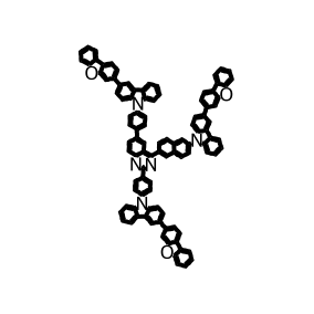 c1ccc2c(c1)oc1cc(-c3ccc4c(c3)c3ccccc3n4-c3ccc(-c4ccc5nc(-c6ccc(-n7c8ccccc8c8cc(-c9ccc%10c(c9)oc9ccccc9%10)ccc87)cc6)nc(-c6ccc7cc(-n8c9ccccc9c9cc(-c%10ccc%11c(c%10)oc%10ccccc%10%11)ccc98)ccc7c6)c5c4)cc3)ccc12